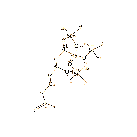 C=C(C)COCC(O)CC(CC)[Si](O[Si](C)(C)C)(O[Si](C)(C)C)O[Si](C)(C)C